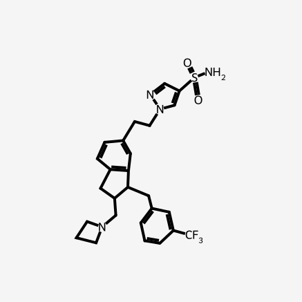 NS(=O)(=O)c1cnn(CCc2ccc3c(c2)C(Cc2cccc(C(F)(F)F)c2)C(CN2CCC2)C3)c1